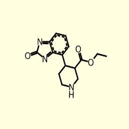 CCOC(=O)C1CNCCC1c1cccc2c1=NC(=O)N=2